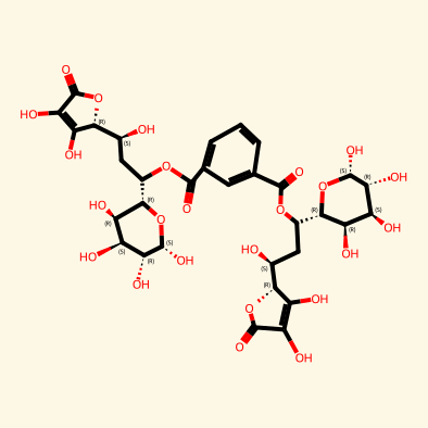 O=C1O[C@H]([C@@H](O)CC(OC(=O)c2cccc(C(=O)OC(C[C@H](O)[C@H]3OC(=O)C(O)=C3O)[C@@H]3O[C@H](O)[C@H](O)[C@@H](O)[C@H]3O)c2)[C@@H]2O[C@H](O)[C@H](O)[C@@H](O)[C@H]2O)C(O)=C1O